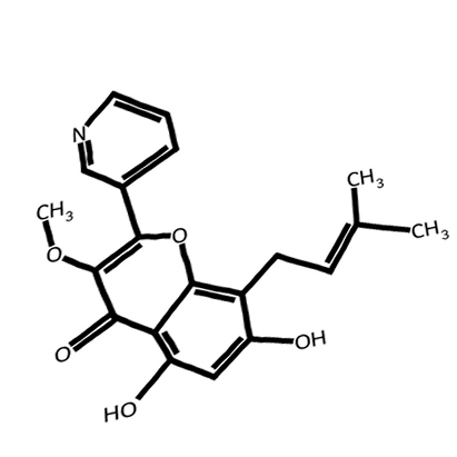 COc1c(-c2cccnc2)oc2c(CC=C(C)C)c(O)cc(O)c2c1=O